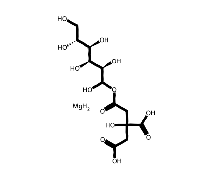 O=C(O)CC(O)(CC(=O)OC(O)[C@H](O)[C@@H](O)[C@H](O)[C@H](O)CO)C(=O)O.[MgH2]